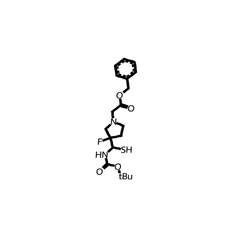 CC(C)(C)OC(=O)NC(S)C1(F)CCN(CC(=O)OCc2ccccc2)C1